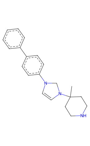 CC1(N2C=CN(c3ccc(-c4ccccc4)cc3)C2)CCNCC1